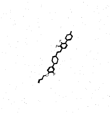 C=CCCOc1ccc(C2CCC(CCc3ccc(C4=CCC(C)CC4)c(F)c3F)CC2)cc1F